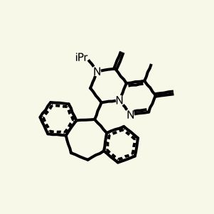 C=C1C=NN2C(=C1C)C(=C)N(C(C)C)CC2C1c2ccccc2CCc2ccccc21